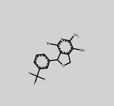 Cc1nc(Br)c2c(c1O)COC2c1cccc(C(F)(F)F)c1